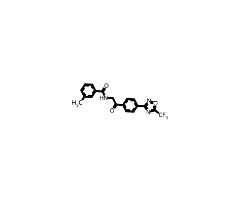 Cc1cccc(C(=O)NCC(=O)c2ccc(-c3noc(C(F)(F)F)n3)cc2)c1